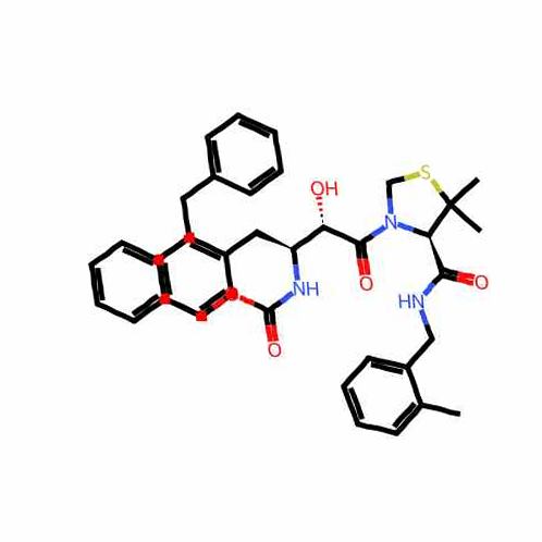 Cc1ccccc1CNC(=O)[C@H]1N(C(=O)[C@@H](O)[C@H](Cc2ccccc2)NC(=O)OCc2ccccc2CCc2ccccc2)CSC1(C)C